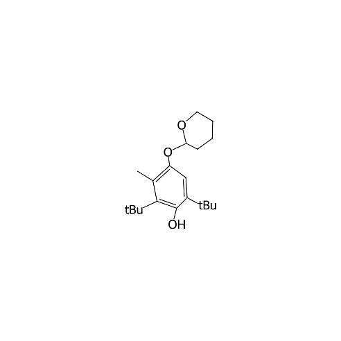 Cc1c(OC2CCCCO2)cc(C(C)(C)C)c(O)c1C(C)(C)C